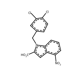 O=C(O)c1cc2c([N+](=O)[O-])cccc2n1Cc1ccc(Cl)c(Cl)c1